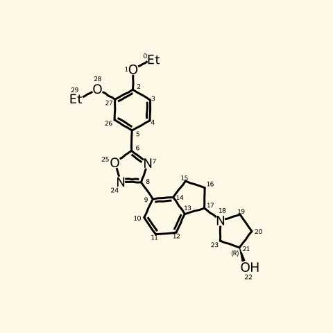 CCOc1ccc(-c2nc(-c3cccc4c3CCC4N3CC[C@@H](O)C3)no2)cc1OCC